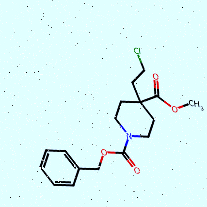 COC(=O)C1(CCCl)CCN(C(=O)OCc2ccccc2)CC1